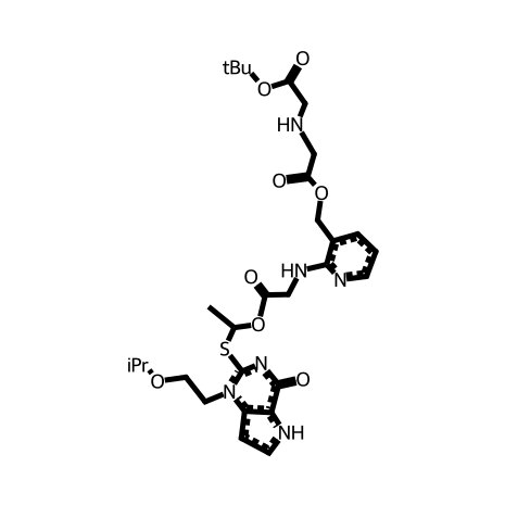 CC(C)OCCn1c(SC(C)OC(=O)CNc2ncccc2COC(=O)CNCC(=O)OC(C)(C)C)nc(=O)c2[nH]ccc21